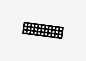 C1C2C3CC4C5C6C7C8C9C%10C%11C%12C%13CC%14C%15CC%16C%17C%18C%19C%20C%21C%22C%23C%24C1C21C34C52C%241C%231C62C72C%221C%211C%203C%194C%185C%176C%15%16C%14%13C%126C%115C%104C93C821